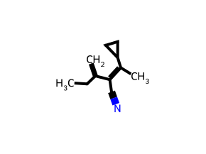 C=C(CC)/C(C#N)=C(/C)C1CC1